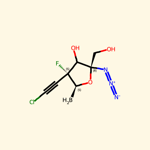 B[C@@H]1O[C@@](CO)(N=[N+]=[N-])C(O)[C@]1(F)C#CCl